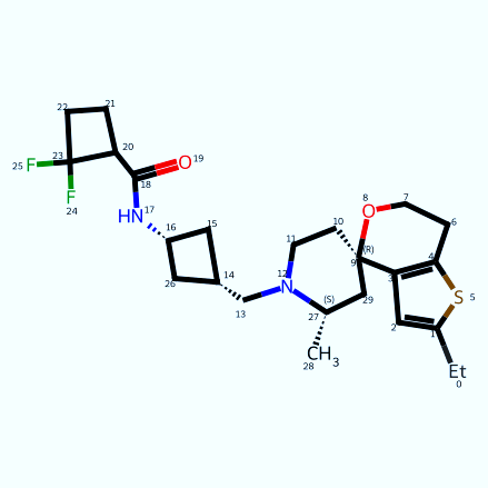 CCc1cc2c(s1)CCO[C@@]21CCN(C[C@H]2C[C@@H](NC(=O)C3CCC3(F)F)C2)[C@@H](C)C1